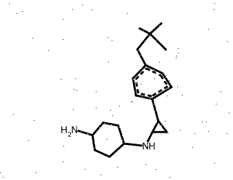 CC(C)(C)Cc1ccc(C2CC2NC2CCC(N)CC2)cc1